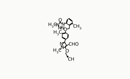 C#CCOc1c(C=O)c(-c2ccc(OCc3c(C)cccc3-n3nnn(C)c3=O)c(C)c2)nn1C